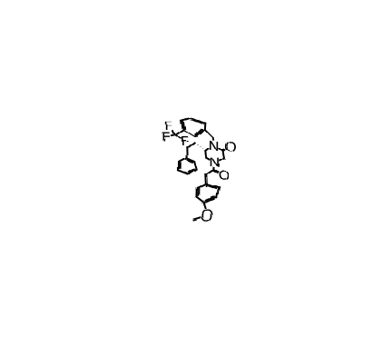 COc1ccc(CC(=O)N2CC(=O)N(Cc3cccc(C(F)(F)F)c3)[C@@H](CCc3ccccc3)C2)cc1